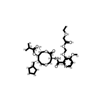 CCOCC(=O)OCOc1c(OC)ccnc1C(=O)N[C@H]1COC[C@H](CC2CCCC2)[C@@H](OC(=O)C(C)C)[C@H](C)OC1=O